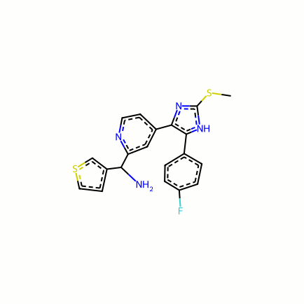 CSc1nc(-c2ccnc(C(N)c3ccsc3)c2)c(-c2ccc(F)cc2)[nH]1